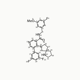 COc1cc(F)cc(CNC(=O)c2cncc(-c3cc(F)cc(F)c3)c2N2CCC3(CCCN3)C2)c1